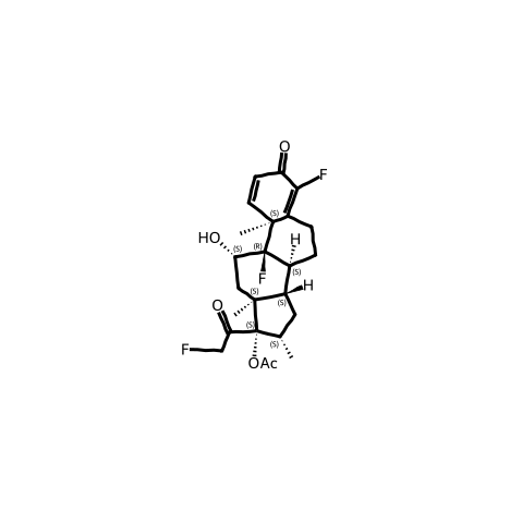 CC(=O)O[C@@]1(C(=O)CF)[C@@H](C)C[C@H]2[C@@H]3CCC4=C(F)C(=O)C=C[C@]4(C)[C@@]3(F)[C@@H](O)C[C@@]21C